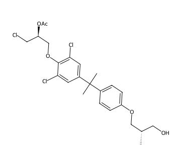 CC(=O)O[C@H](CCl)COc1c(Cl)cc(C(C)(C)c2ccc(OC[C@@H](C)CO)cc2)cc1Cl